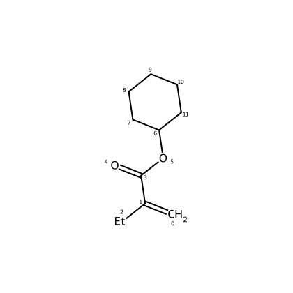 C=C(CC)C(=O)OC1CCCCC1